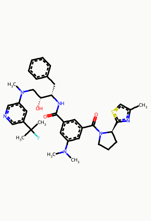 Cc1csc([C@H]2CCCN2C(=O)c2cc(C(=O)N[C@@H](Cc3ccccc3)[C@H](O)CN(C)c3cncc(C(C)(C)F)c3)cc(N(C)C)c2)n1